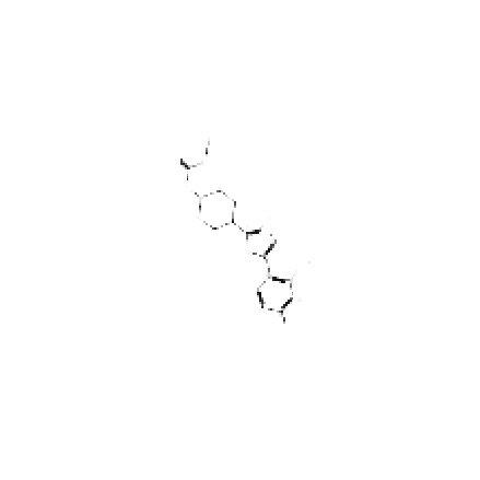 CC(C)OC(=O)NC1CCC(c2ncc(-c3ccc(N)cc3F)s2)CC1